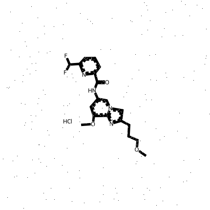 COCCCc1cn2cc(NC(=O)c3cccc(C(F)F)n3)cc(OC)c2n1.Cl